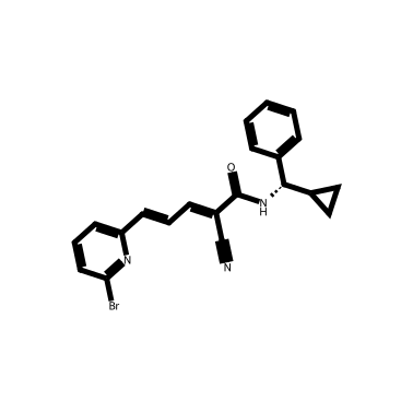 N#C/C(=C\C=C\c1cccc(Br)n1)C(=O)N[C@H](c1ccccc1)C1CC1